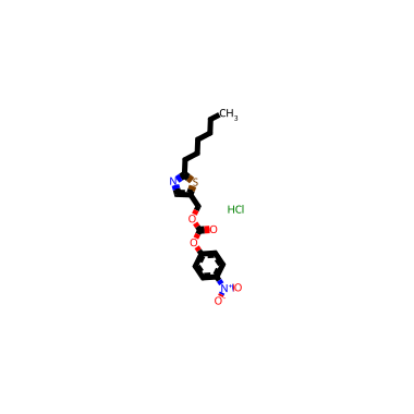 CCCCCCc1ncc(COC(=O)Oc2ccc([N+](=O)[O-])cc2)s1.Cl